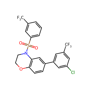 O=S(=O)(c1cccc(C(F)(F)F)c1)N1CCOc2ccc(-c3cc(Cl)cc(C(F)(F)F)c3)cc21